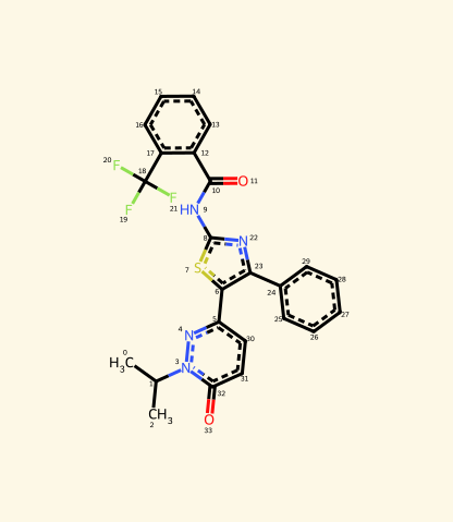 CC(C)n1nc(-c2sc(NC(=O)c3ccccc3C(F)(F)F)nc2-c2ccccc2)ccc1=O